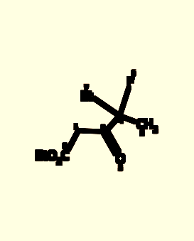 CCOC(=O)CC(=O)C(C)(F)CC